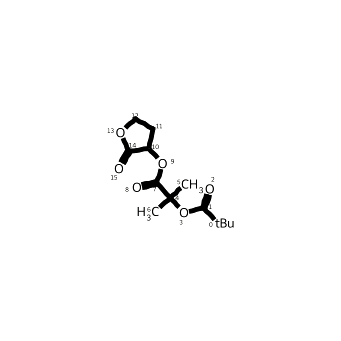 CC(C)(C)C(=O)OC(C)(C)C(=O)OC1CCOC1=O